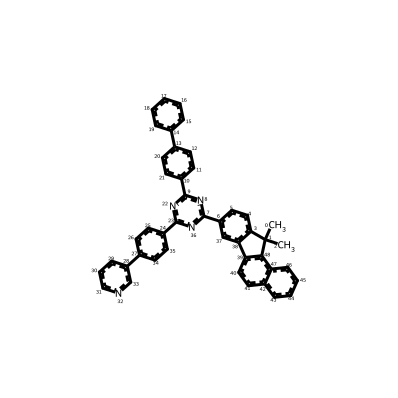 CC1(C)c2ccc(-c3nc(-c4ccc(-c5ccccc5)cc4)nc(-c4ccc(-c5cccnc5)cc4)n3)cc2-c2ccc3ccccc3c21